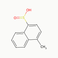 Cc1ccc(S(=O)O)c2ccccc12